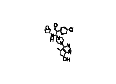 C[C@@H]1C[C@@H](O)c2ncnc(N3CCN(C(N[C@@H]4CCOC4)C(C=O)c4ccc(Cl)cc4)CC3)c21